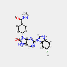 CNC(=O)[C@H]1CC[C@H](n2c(=O)[nH]c3cnc(-n4cnc5ccc(F)cc54)nc32)CC1